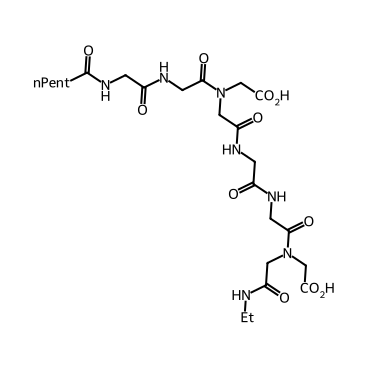 CCCCCC(=O)NCC(=O)NCC(=O)N(CC(=O)O)CC(=O)NCC(=O)NCC(=O)N(CC(=O)O)CC(=O)NCC